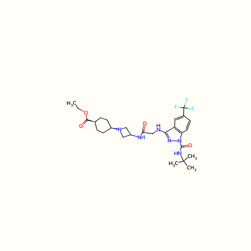 CCOC(=O)[C@H]1CC[C@@H](N2CC(NC(=O)CNc3nn(C(=O)NC(C)(C)C)c4ccc(C(F)(F)F)cc34)C2)CC1